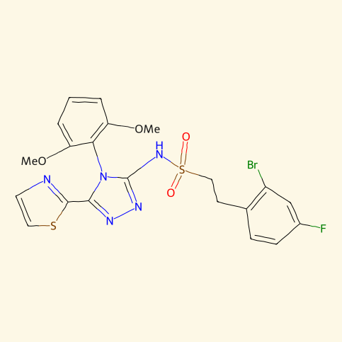 COc1cccc(OC)c1-n1c(NS(=O)(=O)CCc2ccc(F)cc2Br)nnc1-c1nccs1